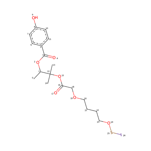 CC(OC(=O)c1ccc(O)cc1)C(C)(C)OC(=O)COCCCCOSI